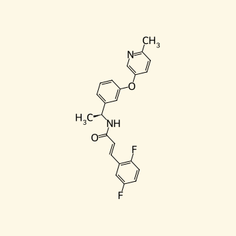 Cc1ccc(Oc2cccc([C@H](C)NC(=O)C=Cc3cc(F)ccc3F)c2)cn1